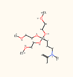 C=C(C)N(CC)CCC[Si](OCCOCC)(OCCOCC)OCCOCC